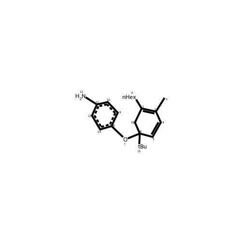 CCCCCCC1=C(C)C=CC(Oc2ccc(N)cc2)(C(C)(C)C)C1